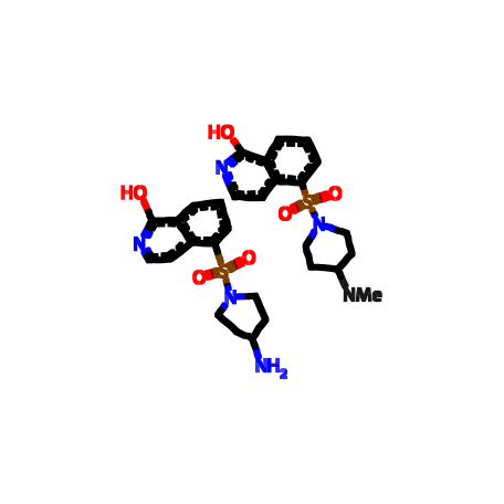 CNC1CCN(S(=O)(=O)c2cccc3c(O)nccc23)CC1.NC1CCN(S(=O)(=O)c2cccc3c(O)nccc23)CC1